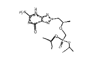 CC(C)OP(=O)(CO[C@H](C)Cn1nc2[nH]c(N)nc(=O)c2n1)OC(C)C